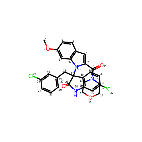 COc1ccc2cc(C(=O)N3CCOCC3)n(C3(Cc4cccc(Cl)c4)C(=O)Nc4cc(Cl)ccc43)c2c1